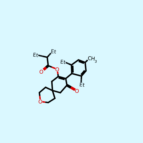 CCc1cc(C)cc(CC)c1C1=C(OC(=O)C(CC)CC)CC2(CCOCC2)CC1=O